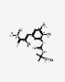 CCOC(=O)C(C)(C)OC(=O)Oc1cc(/C=C(\C#N)C(=O)N(CC)CC)cc([N+](=O)[O-])c1O